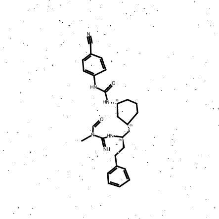 CN(C=O)C(=N)N[C@H](CCc1ccccc1)C[C@H]1CCC[C@@H](NC(=O)Nc2ccc(C#N)cc2)C1